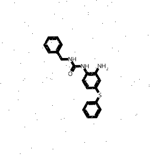 Nc1cc(Sc2ccccc2)ccc1NC(=O)NCc1ccccc1